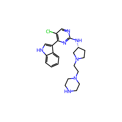 Clc1cnc(N[C@@H]2CCN(CCN3CCNCC3)C2)nc1-c1c[nH]c2ccccc12